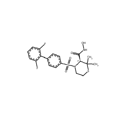 CC1(C)SCCN(S(=O)(=O)c2ccc(-c3c(F)cccc3F)cc2)[C@H]1C(=O)NO